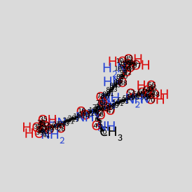 CCNC(=O)CCC(=O)NC(CCCOC(=O)NCCCCCCNC(=O)CCCOC1OC(CO)C(O)C(O)C1N)(CCCOC(=O)NCCCCCCNC(=O)CCCOC1OC(CO)C(O)C(O)C1N)CCCOC(=O)NCCCCCCNC(=O)CCCOC1OC(CO)C(O)C(O)C1N